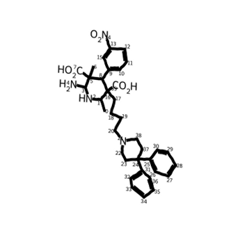 CC1NC(N)C(C)(C(=O)O)C(c2cccc([N+](=O)[O-])c2)C1(CCCCN1CCC(c2ccccc2)(c2ccccc2)CC1)C(=O)O